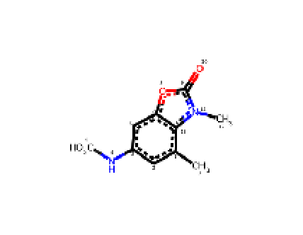 Cc1cc(NC(=O)O)cc2oc(=O)n(C)c12